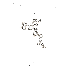 Cn1ccc2c(-c3ncc(Nc4cncc(N5CCC6CN(C(=O)OC(C)(C)C)CC65)n4)c4c3CN(C(=O)O)C4=O)ccnc21